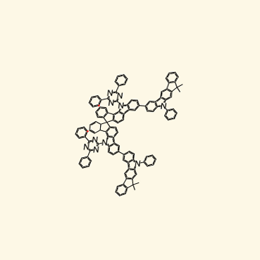 CC1(C)c2ccccc2-c2cc3c4cc(-c5ccc6c(c5)c5ccc7c(c5n6-c5nc(-c6ccccc6)nc(-c6ccccc6)n5)-c5ccccc5C75c6ccc7c8cc(-c9ccc%10c(c9)c9cc%11c(cc9n%10-c9ccccc9)C(C)(C)c9ccccc9-%11)ccc8n(-c8nc(-c9ccccc9)nc(-c9ccccc9)n8)c7c6C6C=CC=CC65)ccc4n(-c4ccccc4)c3cc21